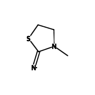 CN1CCSC1=[N]